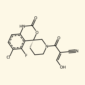 N#CC(=CO)C(=O)N1CCC[C@@]2(C1)OC(=O)Nc1ccc(Cl)c(F)c12